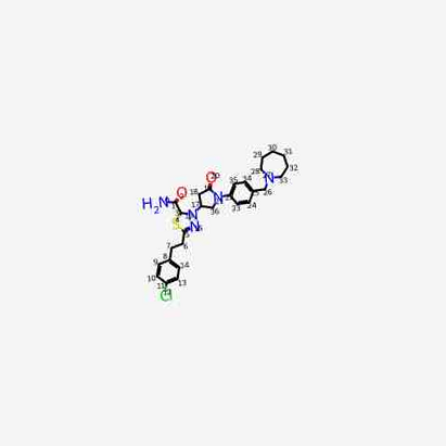 NC(=O)C1SC(CCc2ccc(Cl)cc2)=NN1C1CC(=O)N(c2ccc(CN3CCCCCC3)cc2)C1